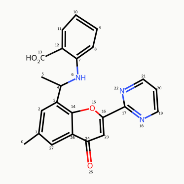 Cc1cc(C(C)Nc2ccccc2C(=O)O)c2oc(-c3ncccn3)cc(=O)c2c1